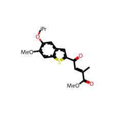 COC(=O)/C(C)=C/C(=O)c1cc2cc(OC(C)C)c(OC)cc2s1